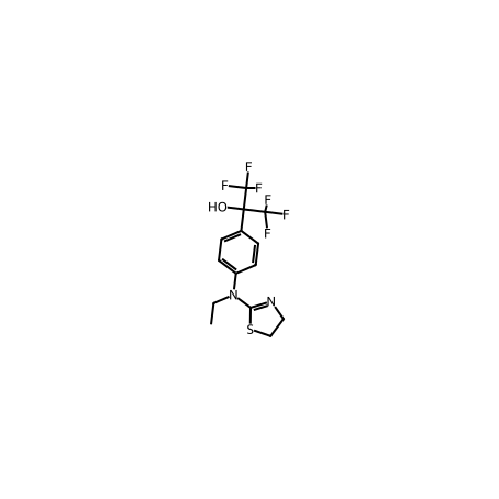 CCN(C1=NCCS1)c1ccc(C(O)(C(F)(F)F)C(F)(F)F)cc1